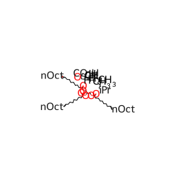 CC(C)CCC[C@@H](C)[C@H]1CC[C@H]2[C@@H]3CC=C4C[C@@H](OC(=O)O)CC[C@]4(C)[C@H]3CC[C@]12C.CCCCCCCC/C=C/CCCCCCCC(=O)OCC(COC(=O)CCCCCCC/C=C/CCCCCCCC)OC(=O)CCCCCCC/C=C/CCCCCCCC